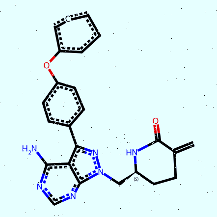 C=C1CC[C@@H](Cn2nc(-c3ccc(Oc4ccccc4)cc3)c3c(N)ncnc32)NC1=O